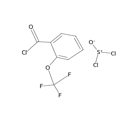 O=C(Cl)c1ccccc1OC(F)(F)F.[O-][S+](Cl)Cl